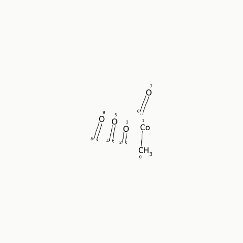 [CH3][Co].[C]=O.[C]=O.[C]=O.[C]=O